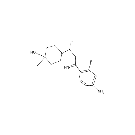 C[C@H](CC(=N)c1ccc(N)cc1F)N1CCC(C)(O)CC1